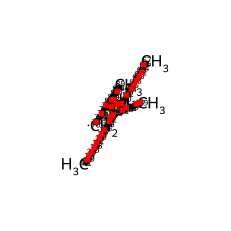 [CH2]CC(CCCC(CCCCCCCCCCCCC)c1cc(CCCCCCCCCCCCCCCCCCCC)cs1)c1cc(CCCCCCCCCCCCCCCCCCCC)cs1.[CH2]CCCCCCCCCCCCCCCCCCC